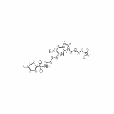 Cc1ccc(S(=O)(=O)NCCCSc2nc3c(ccn3COCC[Si](C)(C)C)cc2Br)cc1